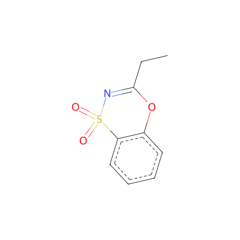 CCC1=NS(=O)(=O)c2ccccc2O1